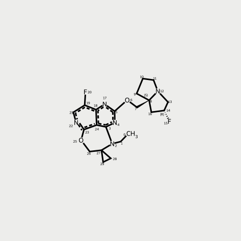 CCN1c2nc(OC[C@@]34CCCN3C[C@H](F)C4)nc3c(F)cnc(c23)OCC12CC2